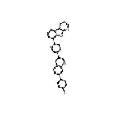 Ic1ccc(-c2ccc3cc(-c4ccc(-c5cccc6c5oc5ncccc56)nc4)cnc3c2)cc1